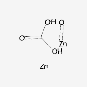 O=C(O)O.[O]=[Zn].[Zn]